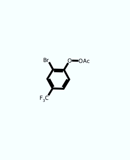 CC(=O)OOc1ccc(C(F)(F)F)cc1Br